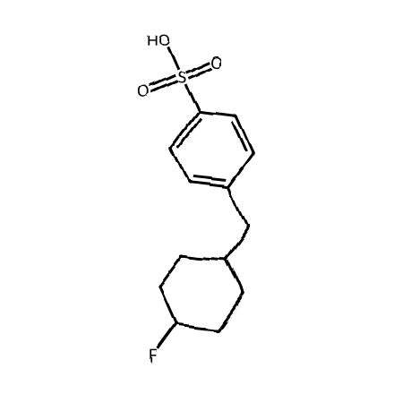 O=S(=O)(O)c1ccc(CC2CCC(F)CC2)cc1